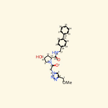 COCc1cn(CC(=O)N2C[C@H](O)C[C@H]2C(=O)NCc2ccc(-c3ccccc3)cc2)nn1